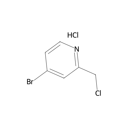 Cl.ClCc1cc(Br)ccn1